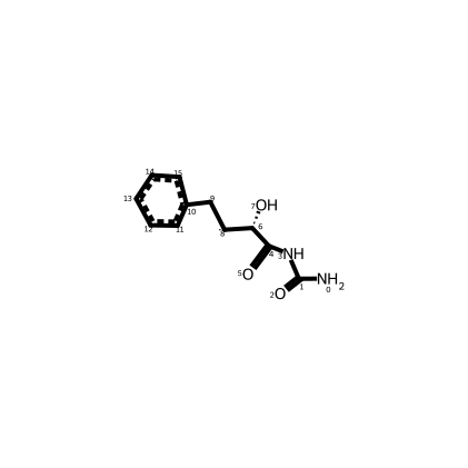 NC(=O)NC(=O)[C@@H](O)[CH]Cc1ccccc1